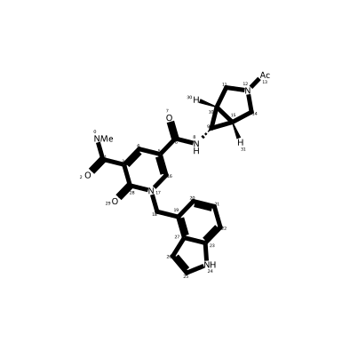 CNC(=O)c1cc(C(=O)N[C@@H]2[C@@H]3CN(C(C)=O)C[C@@H]32)cn(Cc2cccc3[nH]ccc23)c1=O